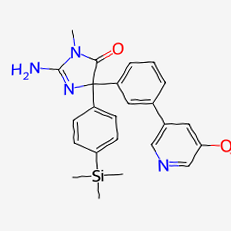 COc1cncc(-c2cccc(C3(c4ccc([Si](C)(C)C)cc4)N=C(N)N(C)C3=O)c2)c1